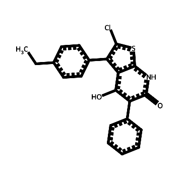 CCc1ccc(-c2c(Cl)sc3[nH]c(=O)c(-c4ccccc4)c(O)c23)cc1